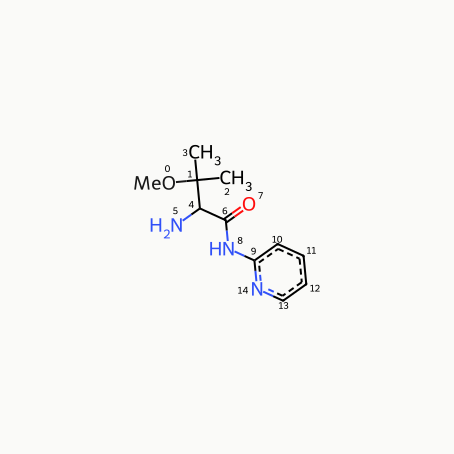 COC(C)(C)C(N)C(=O)Nc1ccccn1